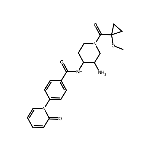 COC1(C(=O)N2CCC(NC(=O)c3ccc(-n4ccccc4=O)cc3)C(N)C2)CC1